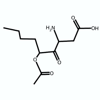 CCCCC(OC(C)=O)C(=O)C(N)CC(=O)O